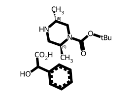 C[C@@H]1CN(C(=O)OC(C)(C)C)[C@@H](C)CN1.O=C(O)C(O)c1ccccc1